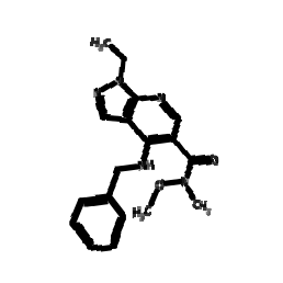 CCn1ncc2c(NCc3ccccc3)c(C(=O)N(C)OC)cnc21